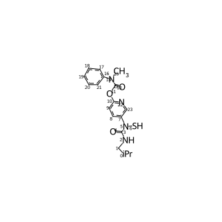 CC(C)CNC(=O)N(S)c1ccc(OC(=O)N(C)c2ccccc2)nc1